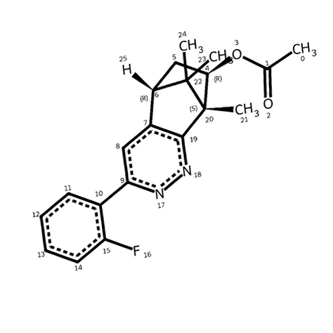 CC(=O)O[C@@H]1C[C@H]2c3cc(-c4ccccc4F)nnc3[C@]1(C)C2(C)C